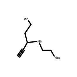 C#CC(CCC(C)=O)NCCC(C)(C)C